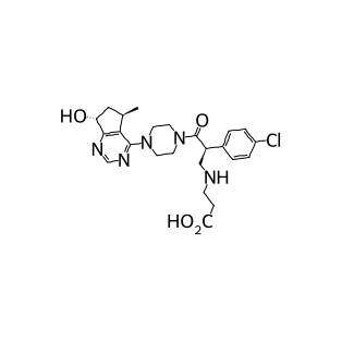 C[C@@H]1C[C@@H](O)c2ncnc(N3CCN(C(=O)[C@H](CNCCC(=O)O)c4ccc(Cl)cc4)CC3)c21